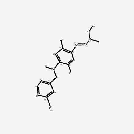 CCN(C)/C=N/c1cc(C)c(N(C)Cc2cccc(F)c2)cc1C